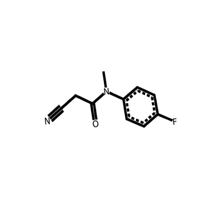 CN(C(=O)CC#N)c1ccc(F)cc1